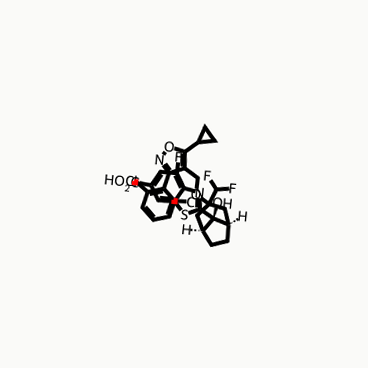 O=C(O)c1cc(F)c2nc([C@]3(O)[C@@H]4CC[C@H]3CC(OCc3c(-c5c(Cl)cccc5Cl)noc3C3CC3)(C(F)F)C4)sc2c1